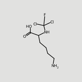 NCCCCC(NC(F)(Cl)Cl)C(=O)O